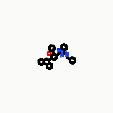 N/C(=N\C(=N/Cc1ccccc1)c1ccccc1)c1ccc(-c2cc3ccccc3c3ccccc23)c2oc3ccccc3c12